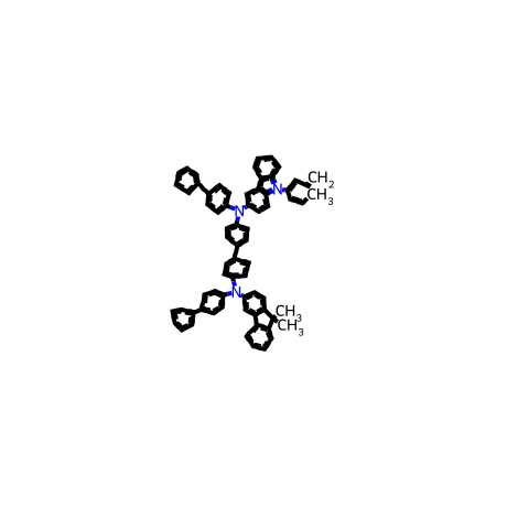 C=C/C=C(\C=C/C)n1c2ccccc2c2cc(N(c3ccc(-c4ccccc4)cc3)c3ccc(-c4ccc(N(c5ccc(-c6ccccc6)cc5)c5ccc6c(c5)-c5ccccc5C6(C)C)cc4)cc3)ccc21